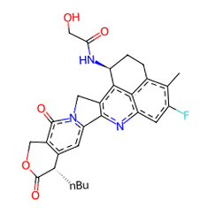 CCCC[C@@H]1C(=O)OCc2c1cc1n(c2=O)Cc2c-1nc1cc(F)c(C)c3c1c2[C@@H](NC(=O)CO)CC3